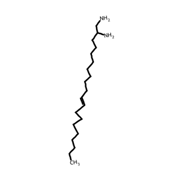 CCCCCCCCC=CCCCCCCCCC(N)CN